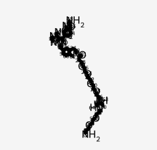 NCCOCCOCCN1C[C@@H]2C[C@H]1CN2CCOCCOCCOCCOCCC(=O)N1CCc2cc(Cn3nc(-c4ccc5oc(N)nc5c4)c4c(N)ncnc43)ccc2C1